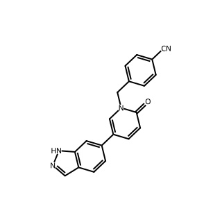 N#Cc1ccc(Cn2cc(-c3ccc4cn[nH]c4c3)ccc2=O)cc1